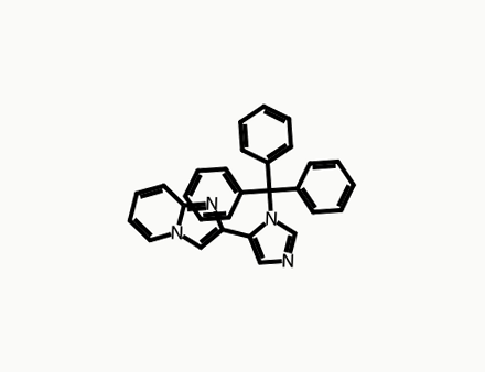 c1ccc(C(c2ccccc2)(c2ccccc2)n2cncc2-c2cn3ccccc3n2)cc1